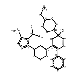 CCOC(=O)c1cnn(C2CCCN(C3=C(c4ccccc4)C=CC(Cl)(N4CCN(CC(F)(F)F)CC4)C3)C2)c1C(F)F